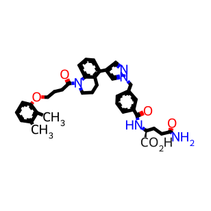 Cc1cccc(OCCCC(=O)N2CCCc3c(-c4cnn(Cc5cccc(C(=O)N[C@@H](CCC(N)=O)C(=O)O)c5)c4)cccc32)c1C